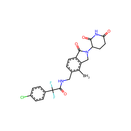 Bc1c(CNC(=O)C(F)(F)c2ccc(Cl)cc2)ccc2c1CN(C1CCC(=O)NC1=O)C2=O